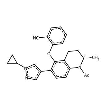 CC(=O)N1c2ccc(-c3cnn(C4CC4)c3)c(Oc3ccccc3C#N)c2CC[C@@H]1C